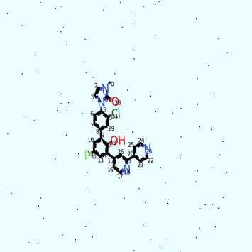 Cn1ccn(-c2ccc(-c3cc(F)cc(-c4ccnc(-c5ccncc5)c4)c3O)cc2Cl)c1=O